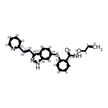 C=CCONC(=O)c1ccccc1Sc1ccc2c(/C=C/c3ccccn3)n[nH]c2c1